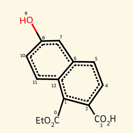 CCOC(=O)c1c(C(=O)O)ccc2cc(O)ccc12